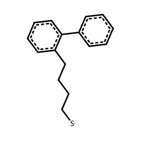 [S]CCCCc1ccccc1-c1ccccc1